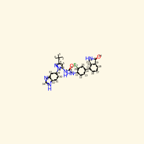 CC(C)(C)c1cc(NC(=O)Nc2ccc(-c3cccc4c3CNC4=O)cc2F)n(-c2ccc3[nH]cnc3c2)n1